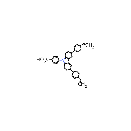 C=Cc1ccc(-c2ccc3c(c2)c2cc(-c4ccc(C=C)cc4)ccc2n3-c2ccc(C(=O)O)cc2)cc1